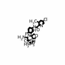 Cc1cc(Cl)cnc1C(=O)Nc1ccc(F)c([C@@]23COC[C@H]2S(=O)(=O)C(C)(C)C(N)=N3)c1